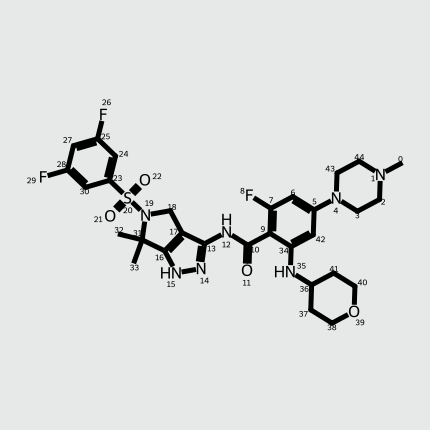 CN1CCN(c2cc(F)c(C(=O)Nc3n[nH]c4c3CN(S(=O)(=O)c3cc(F)cc(F)c3)C4(C)C)c(NC3CCOCC3)c2)CC1